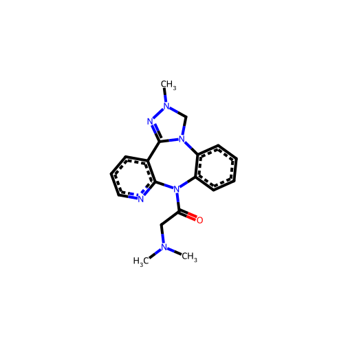 CN(C)CC(=O)N1c2ccccc2N2CN(C)N=C2c2cccnc21